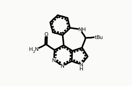 CC(C)(C)C1Nc2ccccc2-c2c(C(N)=O)nnc3[nH]cc1c23